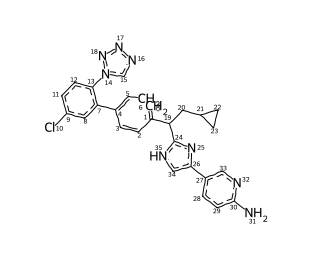 C=C(/C=C\C(=C/C)c1cc(Cl)ccc1-n1cnnn1)C(CC1CC1)c1nc(-c2ccc(N)nc2)c[nH]1